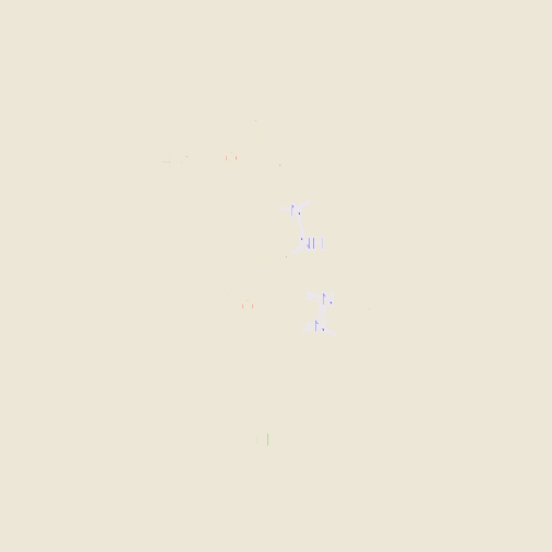 CCOC(=O)C1(Cc2ccccc2)CCN(NC(=O)c2nn(-c3ccccc3Cl)c(-c3ccc(Cl)cc3)c2OC)CC1